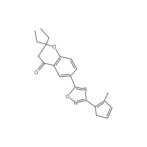 CCC1(CC)CC(=O)c2cc(-c3nc(C4=C(C)C=CC4)no3)ccc2O1